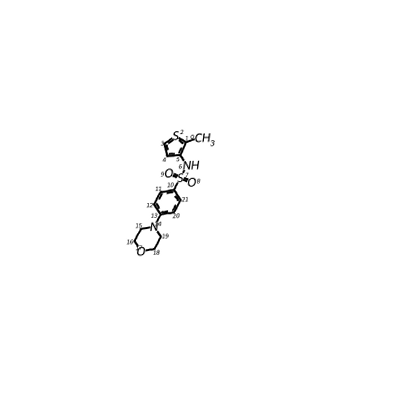 Cc1sccc1NS(=O)(=O)c1ccc(N2CCOCC2)cc1